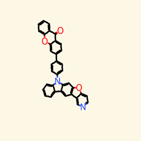 O=c1c2ccccc2oc2cc(-c3ccc(-n4c5ccccc5c5cc6c(cc54)oc4ccncc46)cc3)ccc12